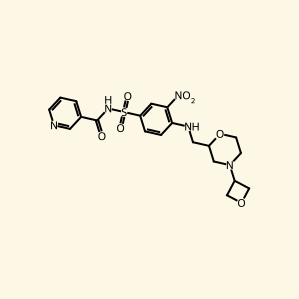 O=C(NS(=O)(=O)c1ccc(NCC2CN(C3COC3)CCO2)c([N+](=O)[O-])c1)c1cccnc1